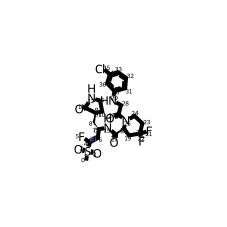 CS(=O)(=O)/C(F)=C/[C@H](C[C@@H]1CCNC1=O)NC(=O)[C@@H]1CC(F)(F)CCN1C(=O)CNc1cccc(Cl)c1